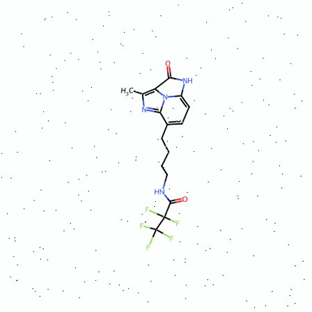 Cc1nc2c(CCCCNC(=O)C(F)(F)C(F)(F)F)ccc3[nH]c(=O)c1n32